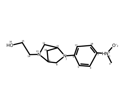 C[NH+]([O-])c1ccc(N2CC3CC2CN3CCO)cc1